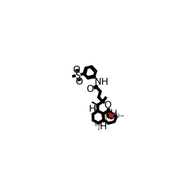 C[C@@H]1CC[C@H]2[C@@H](C)C(C)(CCC(=O)Nc3cccc(S(C)(=O)=O)c3)O[C@@H]3O[C@]4(C)CC[C@@H]1[C@]32OO4